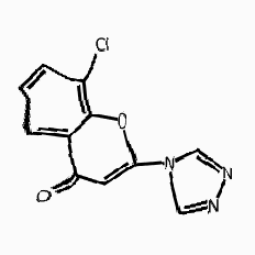 O=c1cc(-n2cnnc2)oc2c(Cl)cccc12